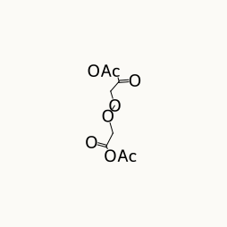 CC(=O)OC(=O)COOCC(=O)OC(C)=O